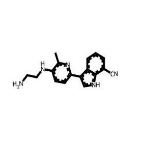 Cc1nc(-c2c[nH]c3c(C#N)cccc23)ccc1NCCN